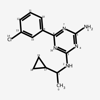 CC(Nc1nc(N)nc(-c2cccc(Cl)c2)n1)C1CC1